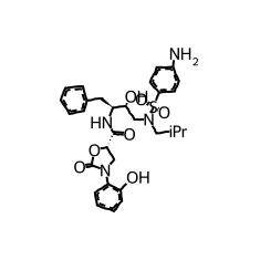 CC(C)CN(C[C@@H](O)[C@H](Cc1ccccc1)NC(=O)[C@@H]1CN(c2ccccc2O)C(=O)O1)S(=O)(=O)c1ccc(N)cc1